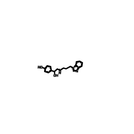 Oc1ccc(C(O)CNCCCn2cnc3ccccc32)cc1